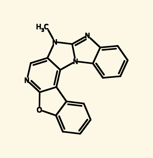 Cn1c2cnc3oc4ccccc4c3c2n2c3ccccc3nc12